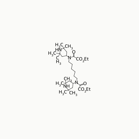 CCOC(=O)C(=O)N(CCCCCCN(C(=O)C(=O)OCC)C1CC(C)(C)NC(C)(C)C1)C1CC(C)(C)NC(C)(C)C1